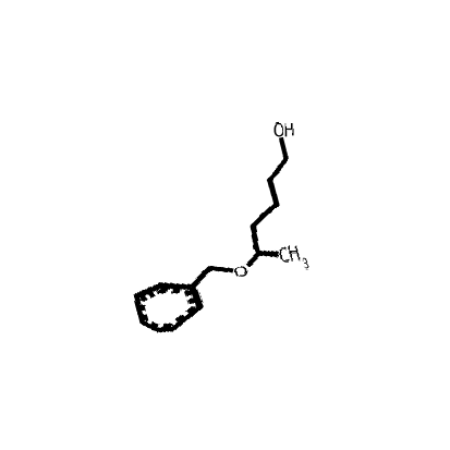 CC(CCCCO)OCc1ccccc1